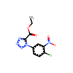 CCOC(=O)c1nnnn1-c1ccc(Cl)c([N+](=O)[O-])c1